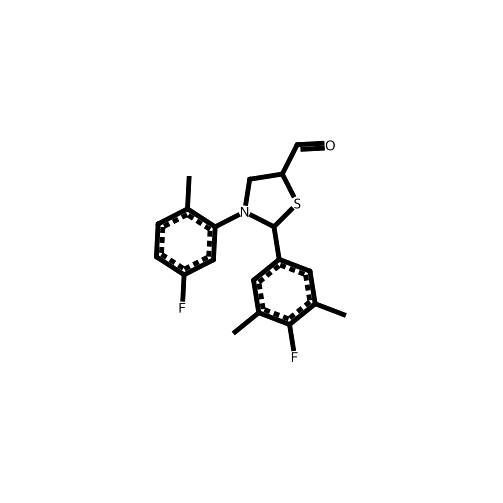 Cc1ccc(F)cc1N1CC(C=O)SC1c1cc(C)c(F)c(C)c1